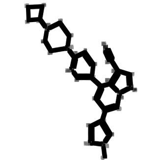 Cn1cc(-c2cc(-c3ccc(N4CCN(C5CCC5)CC4)nc3)c3c(C#N)cnn3c2)cn1